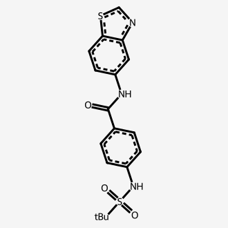 CC(C)(C)S(=O)(=O)Nc1ccc(C(=O)Nc2ccc3scnc3c2)cc1